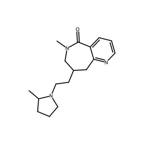 CC1CCCN1CCC1Cc2ncccc2C(=O)N(C)C1